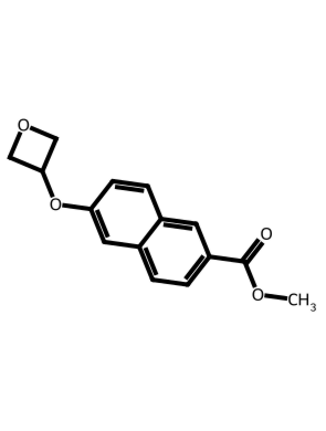 COC(=O)c1ccc2cc(OC3COC3)ccc2c1